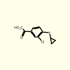 O=C(O)C(=O)c1ccc(SC2CC2)c(Cl)c1